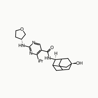 CC(C)c1nc(N[C@@H]2CCOC2)ncc1C(=O)N[C@H]1C2CC3CC1C[C@@](O)(C3)C2